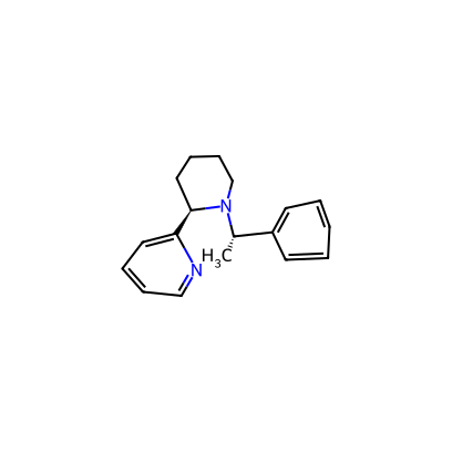 C[C@@H](c1ccccc1)N1CCCC[C@@H]1c1ccccn1